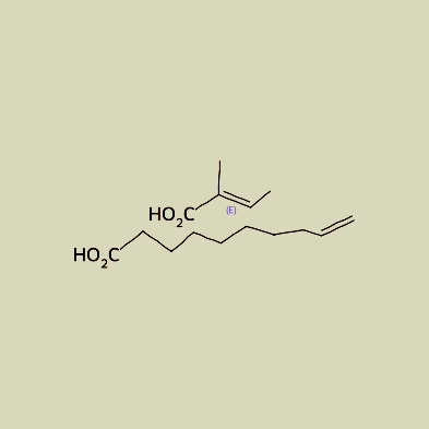 C/C=C(\C)C(=O)O.C=CCCCCCCCC(=O)O